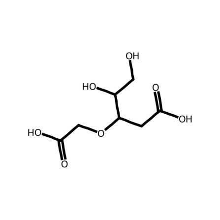 O=C(O)COC(CC(=O)O)C(O)CO